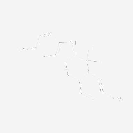 COc1ccc2c(c1)C(C)(C)c1[nH]c3ccc(N=O)cc3c1C2=O